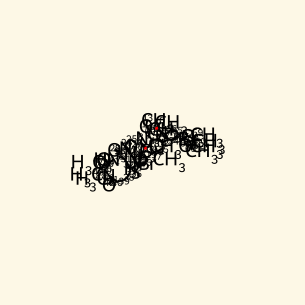 CCn1c(-c2cccnc2[C@H](C)OC)c(CC(C)(C)COC(=O)[C@@H]2CCCN(C(=O)[C@@H]3Cc4nc(Br)sc4CCCC(=O)N(C)[C@@H](C(C)C)C(=O)N3)N2)c2cc(B3OC(C)(C)C(C)(C)O3)ccc21